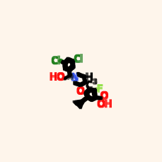 Cc1c(F)c(C(=O)O)cc(C2CC2)c1OC1CCCN([C@@H](CO)c2cc(Cl)cc(Cl)c2)C1